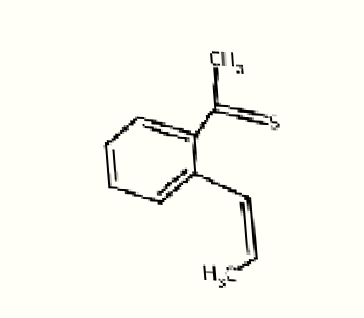 C/C=C\c1ccccc1C(C)=S